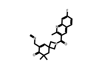 C=NCC1=CC2(CN(C(=O)c3cc4ccc(F)cc4nc3C)C2)CC(C)(C)C1=O